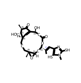 C/C(=C\c1nc(S)n(C)c1S)[C@@H]1C[C@@H]2O[C@]2(C)CCC[C@@H]2C=C(C(=O)[C@H](C)[C@H]2O)[C@@H](O)CC(=O)O1